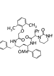 CO[C@@H](C[C@H](Cc1ccccc1)NC(=O)C(C(C)C)N1CCCNC1=O)[C@H](Cc1ccccc1)NC(=O)COc1c(C)cccc1C